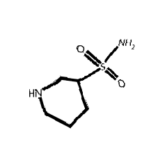 NS(=O)(=O)C1CCCNC1